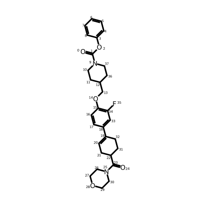 O=C(Oc1ccccc1)N1CCC(COc2ccc(C3=CCC(C(=O)N4CCOCC4)CC3)cc2F)CC1